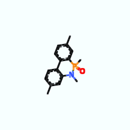 Cc1ccc2c(c1)N(C)P(C)(=O)c1cc(C)ccc1-2